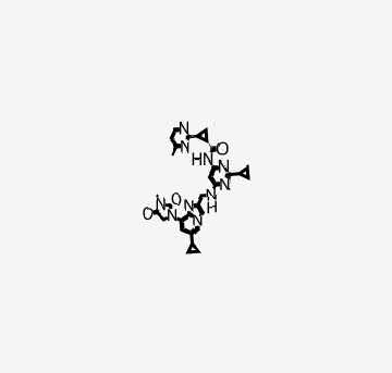 Cc1ccnc([C@H]2C[C@@H]2C(=O)Nc2cc(NCc3cn4cc(C5CC5)cc(N5CC(=O)N(C)C5=O)c4n3)nc(C3CC3)n2)n1